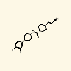 N#CC=C[C@H]1CC[C@H](C(=O)O[C@H]2CC[C@H](c3ccc(F)c(F)c3)CC2)CC1